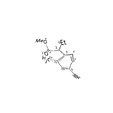 CCC(C(=O)OC)c1ccc(Br)cc1C